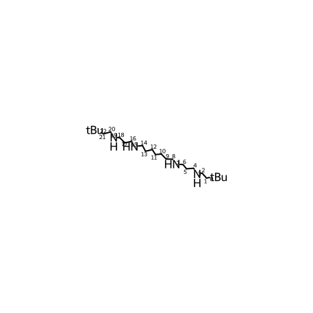 CC(C)(C)CCNCCCNCCCCCCCNCCCNCCC(C)(C)C